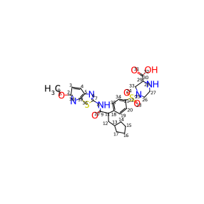 COc1ccc2nc(NC(=O)C(CC3CCCC3)c3ccc(S(=O)(=O)N4CCNC(C(=O)O)C4)cc3)sc2n1